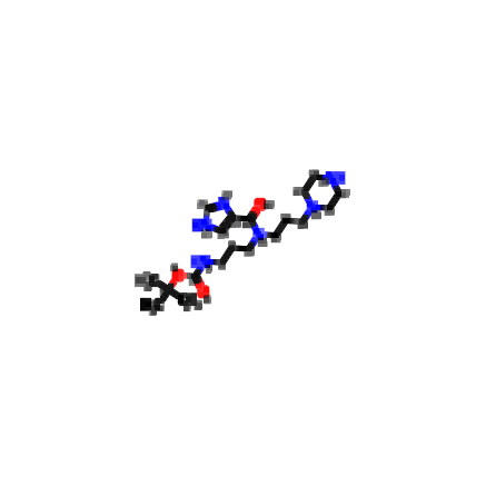 CC(C)(C)OC(=O)NCCCN(CCCN1CCNCC1)C(=O)c1c[nH]cn1